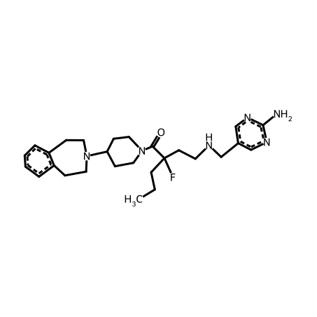 CCCC(F)(CCNCc1cnc(N)nc1)C(=O)N1CCC(N2CCc3ccccc3CC2)CC1